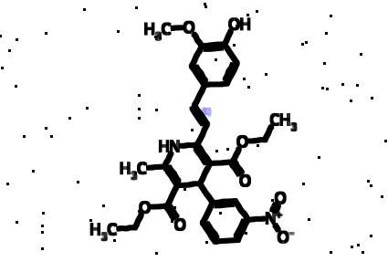 CCOC(=O)C1=C(C)NC(/C=C/c2ccc(O)c(OC)c2)=C(C(=O)OCC)C1c1cccc([N+](=O)[O-])c1